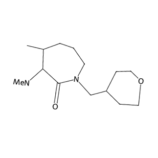 CNC1C(=O)N(CC2CCOCC2)CCCC1C